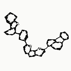 c1cc(-c2ccc3ccc4ccc(-c5ccc6c7c(cccc57)-c5ccccc5-6)nc4c3n2)cc(-c2cccc3c2sc2ccccc23)c1